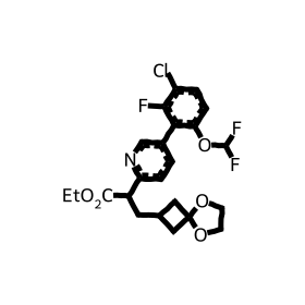 CCOC(=O)C(CC1CC2(C1)OCCO2)c1ccc(-c2c(OC(F)F)ccc(Cl)c2F)cn1